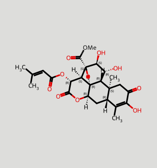 COC(=O)[C@@]12OC[C@]34[C@H]([C@@H](O)[C@@H]1O)[C@@]1(C)CC(=O)C(O)=C(C)[C@@H]1C[C@H]3OC(=O)[C@H](OC(=O)C=C(C)C)[C@@H]24